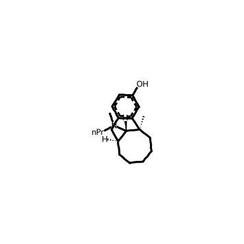 CCCN(C)[C@H]1[C@H]2CCCCC[C@]1(C)c1cc(O)ccc1C2